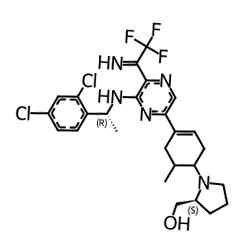 CC1CC(c2cnc(C(=N)C(F)(F)F)c(N[C@H](C)c3ccc(Cl)cc3Cl)n2)=CCC1N1CCC[C@H]1CO